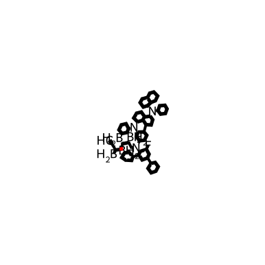 B/C(C#C)=C(B)/C(B)=C(/B)CN(c1ccc2c(c1)N(c1ccccc1)c1cccc3c(N(c4ccccc4)c4cccc5ccccc45)ccc-2c13)c1c(F)cc(-c2ccccc2)cc1-c1ccccc1